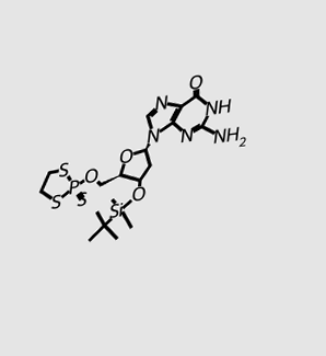 CC(C)(C)[Si](C)(C)OC1C[C@H](n2cnc3c(=O)[nH]c(N)nc32)O[C@@H]1COP1(=S)SCCS1